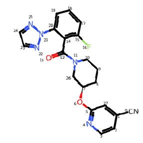 N#Cc1ccnc(O[C@@H]2CCCN(C(=O)c3c(F)cccc3-n3nccn3)C2)c1